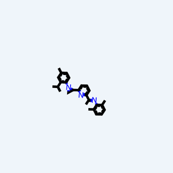 CC(=Nc1c(C)cccc1C)c1cccc(C2CN2c2ccc(C)cc2C(C)C)n1